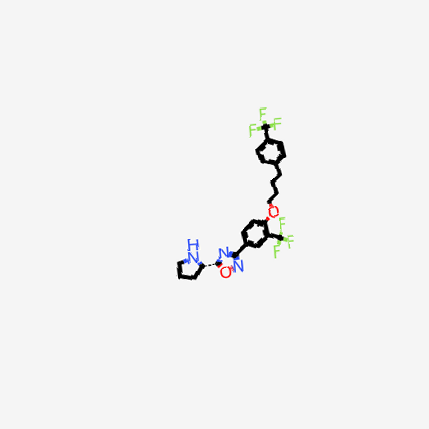 FC(F)(F)c1ccc(CCCCOc2ccc(-c3noc([C@@H]4CCCN4)n3)cc2C(F)(F)F)cc1